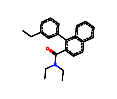 CCc1cccc(-c2c(C(=O)N(CC)CC)ccc3ccccc23)c1